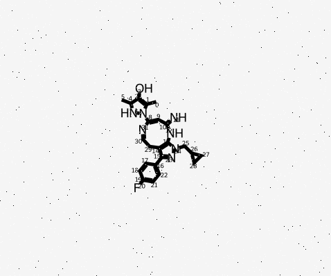 CC1=C(O)C(C)NN1C1=C/C(=N)Nc2c(c(-c3ccc(F)cc3)nn2CC2CC2)C/C=N\1